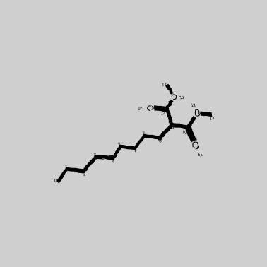 CCCCCCCCCC(C(=O)OC)C(=O)OC